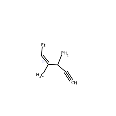 C#CC(P)/C(C)=C\CC